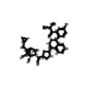 CCN(C(=O)c1cc(F)ccc1N1CCN([C@H]2CCN(C(=O)[C@H]3NC4C[C@@H]3[C@@H](F)[C@H]4CC3CC3)C2)c2ncncc21)C(C)C